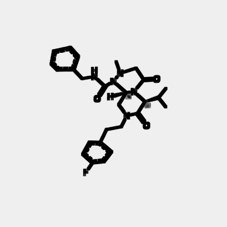 CC(C)[C@H]1C(=O)N(CCc2ccc(F)cc2)C[C@H]2N1C(=O)CN(C)N2C(=O)NCc1ccccc1